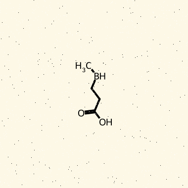 CBCCC(=O)O